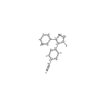 Cc1onc(-c2cccnc2)c1-c1ccc(C#N)cc1